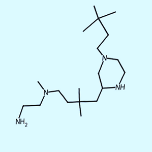 CN(CCN)CCC(C)(C)CC1CN(CCC(C)(C)C)CCN1